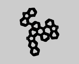 c1ccc(N(c2ccc(-c3cccc4oc5ccccc5c34)cc2)c2cccc3oc4ccccc4c23)c(-c2cccc3oc4cc5ccccc5cc4c23)c1